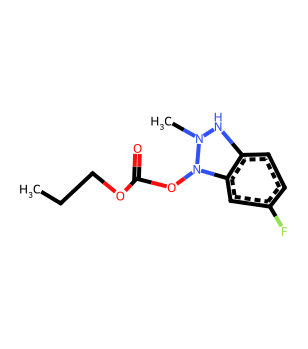 CCCOC(=O)ON1c2cc(F)ccc2NN1C